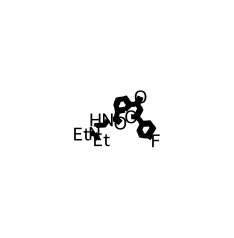 CCN(CC)CCNC(=O)c1cccc2c(=O)cc(-c3ccc(F)cc3)oc12